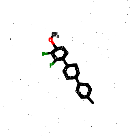 Cc1ccc(-c2ccc(-c3ccc(OC(F)(F)F)c(F)c3F)cc2)cc1